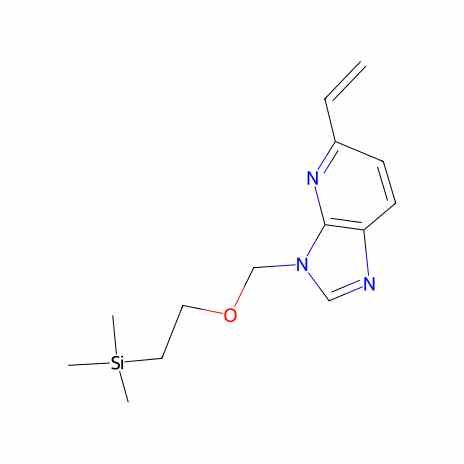 C=Cc1ccc2ncn(COCC[Si](C)(C)C)c2n1